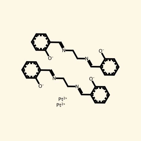 [O-]c1ccccc1C=NCCN=Cc1ccccc1[O-].[O-]c1ccccc1C=NCCN=Cc1ccccc1[O-].[Pt+2].[Pt+2]